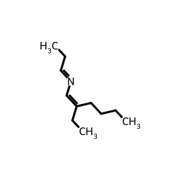 CCC=NC=C(CC)CCCC